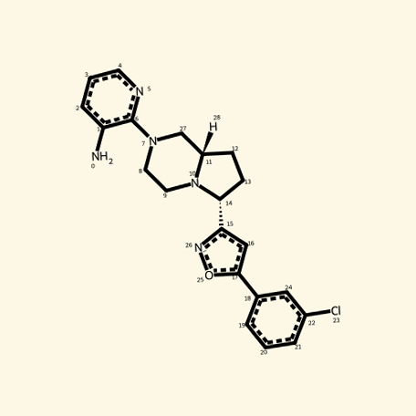 Nc1cccnc1N1CCN2[C@@H](CC[C@@H]2c2cc(-c3cccc(Cl)c3)on2)C1